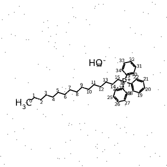 CCCCCCCCCCCCCCCC[P+](c1ccccc1)(c1ccccc1)c1ccccc1.[OH-]